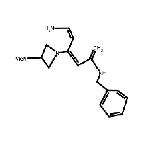 C=C(/C=C(\C=C/N)N1CC(NC)C1)NCc1ccccc1